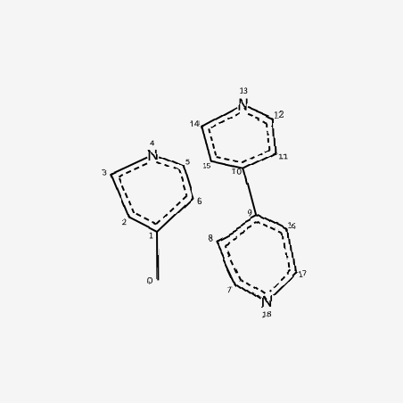 Cc1ccncc1.c1cc(-c2ccncc2)ccn1